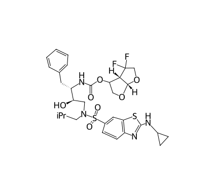 CC(C)CN(C[C@@H](O)[C@H](Cc1ccccc1)NC(=O)OC1CO[C@H]2OCC(F)(F)[C@@H]12)S(=O)(=O)c1ccc2nc(NC3CC3)sc2c1